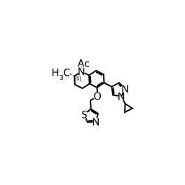 CC(=O)N1c2ccc(-c3cnn(C4CC4)c3)c(OCc3cncs3)c2CC[C@@H]1C